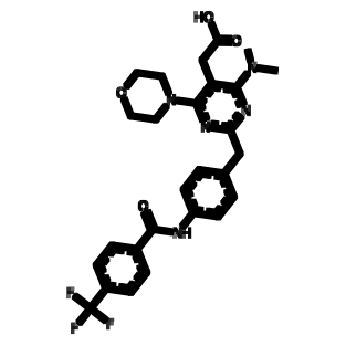 CN(C)c1nc(Cc2ccc(NC(=O)c3ccc(C(F)(F)F)cc3)cc2)nc(N2CCOCC2)c1CC(=O)O